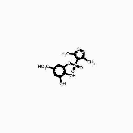 Cc1noc(C)c1S(=O)(=O)Oc1cc(C(=O)O)cc(O)c1O